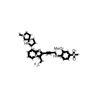 COc1cc(S(C)(=O)=O)ccc1NCC#Cc1nc2c([C@H]3CC[C@@]4(CCN(C)C4)N3)cccn2c1CC(F)(F)F